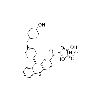 CC(=O)c1ccc2c(c1)C(=C1CCN(CC3CCC(O)CC3)CC1)c1ccccc1S2.O.O=C(O)C(=O)O